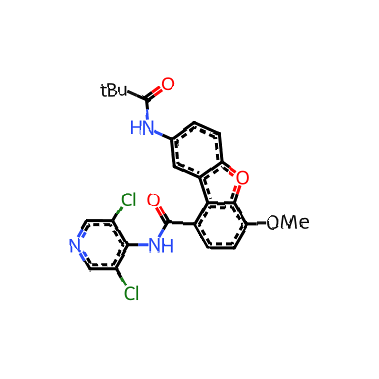 COc1ccc(C(=O)Nc2c(Cl)cncc2Cl)c2c1oc1ccc(NC(=O)C(C)(C)C)cc12